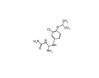 CC(C)Oc1ccc(NC(N)NC(N)=O)cc1Cl